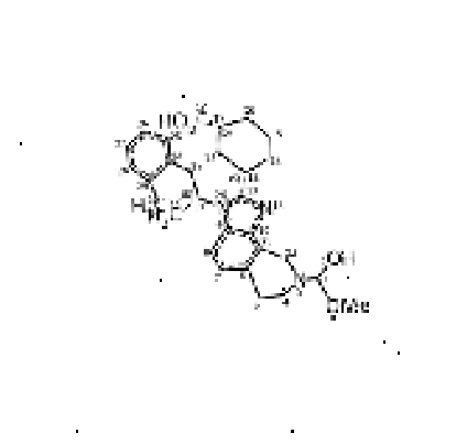 COC(O)N1CCc2ccc3c(nc([C@H]4CCC[C@H](C(=O)O)C4)n3[C@H](C)Cc3ccccc3C)c2C1